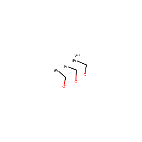 CC(C)C[O-].CC(C)C[O-].CC(C)C[O-].[V+3]